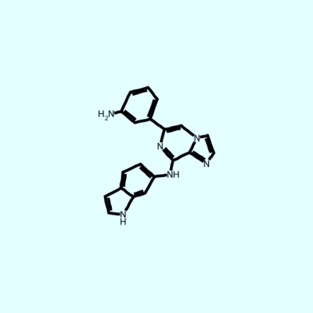 Nc1cccc(-c2cn3ccnc3c(Nc3ccc4cc[nH]c4c3)n2)c1